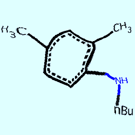 CCCCNc1ccc(C)cc1C